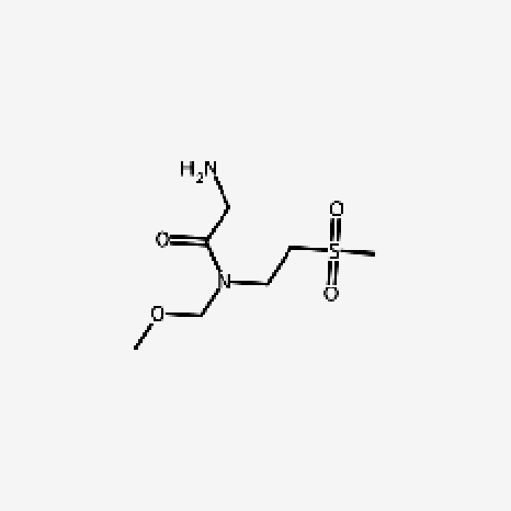 COCN(CCS(C)(=O)=O)C(=O)CN